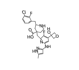 Cc1cc(Nc2cc(C3(O)COC3)c(F)c(CC3(C(=O)O)CCNC(Cc4cccc(Cl)c4F)C3)n2)n[nH]1